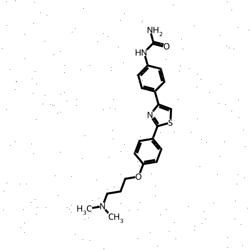 CN(C)CCCOc1ccc(-c2nc(-c3ccc(NC(N)=O)cc3)cs2)cc1